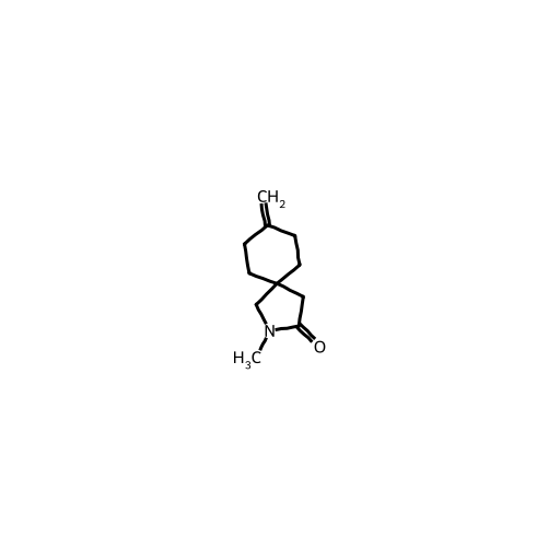 C=C1CCC2(CC1)CC(=O)N(C)C2